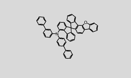 c1ccc(-c2ccc(N(c3cccc(-c4ccccc4)c3)c3cccc4c3-c3ccccc3C43c4ccccc4-c4c3ccc3c4oc4ccccc43)cc2)cc1